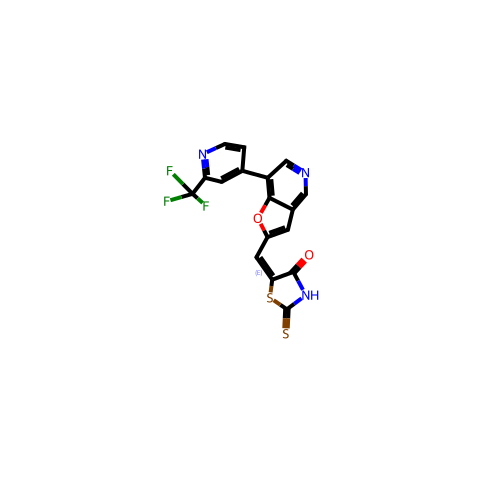 O=C1NC(=S)S/C1=C/c1cc2cncc(-c3ccnc(C(F)(F)F)c3)c2o1